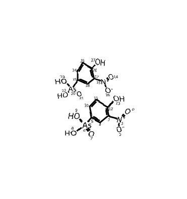 O=[N+]([O-])c1cc([As](=O)(O)O)ccc1O.O=[N+]([O-])c1cc([As](=O)(O)O)ccc1O